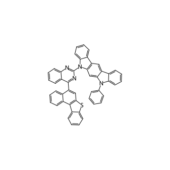 c1ccc(-n2c3ccccc3c3cc4c5ccccc5n(-c5nc(-c6cc7sc8ccccc8c7c7ccccc67)c6ccccc6n5)c4cc32)cc1